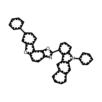 c1ccc(-c2ccc3c(c2)oc2ccc4nc(-c5cccc6c5c5cc7ccccc7cc5n6-c5ccccc5)oc4c23)cc1